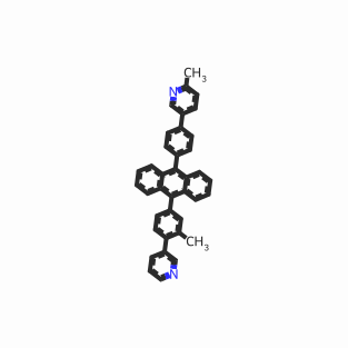 Cc1ccc(-c2ccc(-c3c4ccccc4c(-c4ccc(-c5cccnc5)c(C)c4)c4ccccc34)cc2)cn1